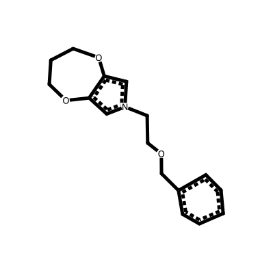 c1ccc(COCCn2cc3c(c2)OCCCO3)cc1